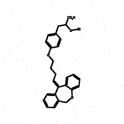 CCOC(Cc1ccc(OCCCC=C2c3ccccc3COc3ccccc32)cc1)C(=O)O